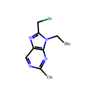 CC(C)(C)Cn1c(CBr)nc2cnc(C#N)nc21